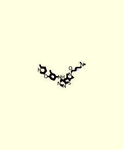 Cc1ccc(Oc2ccc(Nc3ncnc4sc5c(c34)CN(C(=O)/C=C/CN(C)C)C5)cc2C)cn1